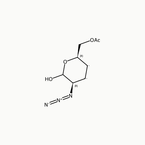 CC(=O)OC[C@H]1[CH][CH][C@@H](N=[N+]=[N-])C(O)O1